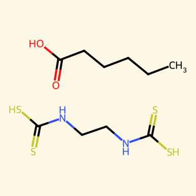 CCCCCC(=O)O.S=C(S)NCCNC(=S)S